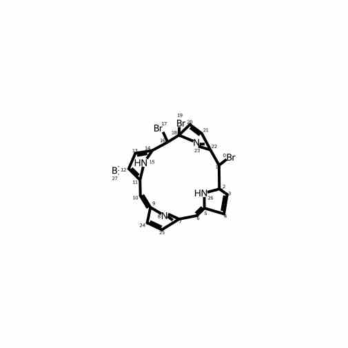 BrC1[C]2C=CC(=CC3=NC(=Cc4ccc([nH]4)C(Br)C4(Br)C=CC1=N4)C=C3)N2.[B]